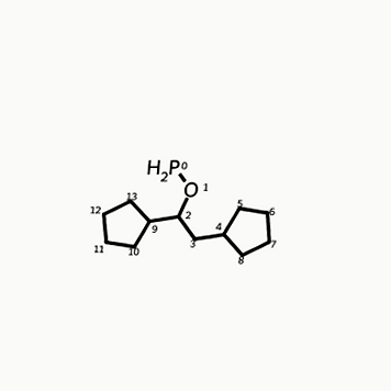 POC(CC1CCCC1)C1CCCC1